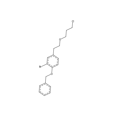 ClCCCOCCc1ccc(OCc2ccccc2)c(Br)c1